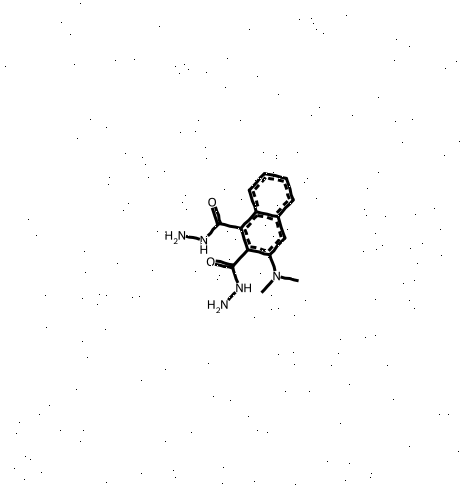 CN(C)c1cc2ccccc2c(C(=O)NN)c1C(=O)NN